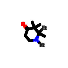 CCN1CCC(=O)C(C)(C)C1(C)CC